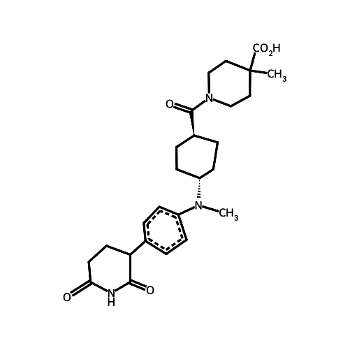 CN(c1ccc(C2CCC(=O)NC2=O)cc1)[C@H]1CC[C@H](C(=O)N2CCC(C)(C(=O)O)CC2)CC1